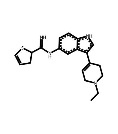 CCN1CC=C(c2c[nH]c3ccc(NC(=N)C4CC=CS4)cc23)CC1